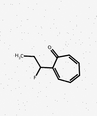 CCC(F)c1cccccc1=O